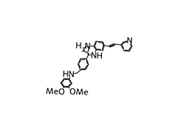 COc1ccc(NCc2ccc(C(=O)Nc3cc(C#Cc4cccnc4)ccc3N)cc2)cc1OC